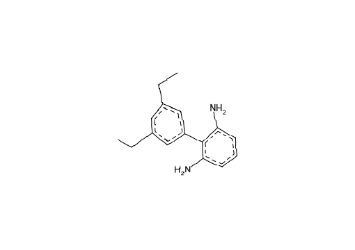 CCc1cc(CC)cc(-c2c(N)cccc2N)c1